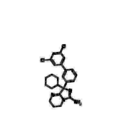 NC1=NC(c2cccc(-c3cc(Cl)cc(Cl)c3)c2)(C2CCCCC2)C2=NCCCN12